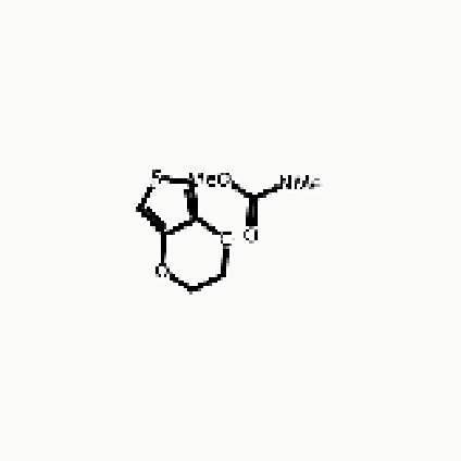 CNC(=O)OC.c1scc2c1OCCO2